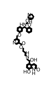 O=C(NC(c1ccccc1)c1cccc(OCc2cncc(C(=O)OCCCCNCC(O)c3ccc(O)c4[nH]c(=O)ccc34)c2)c1)O[C@H]1CN2CCC1CC2